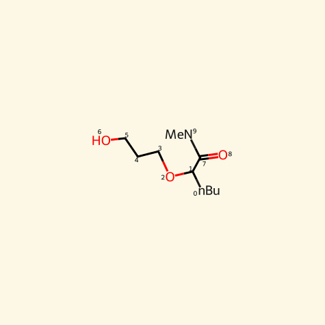 CCCCC(OCCCO)C(=O)NC